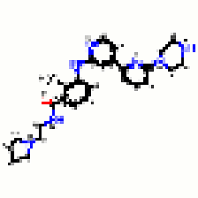 Cc1c(Nc2cc(-c3cccc(N4CCNCC4)n3)ccn2)cccc1C(=O)NCCN1CCCC1